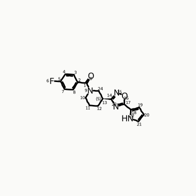 O=C(c1ccc(F)cc1)N1CCC[C@H](c2noc(-c3ccc[nH]3)n2)C1